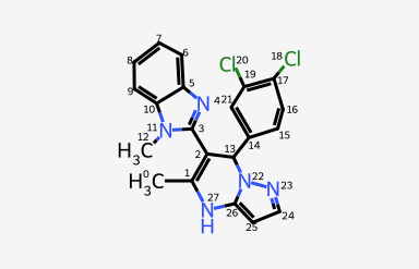 CC1=C(c2nc3ccccc3n2C)C(c2ccc(Cl)c(Cl)c2)n2nccc2N1